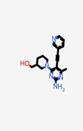 Cc1nc(N)nc(N2CCCC(CO)C2)c1C#Cc1cccnc1